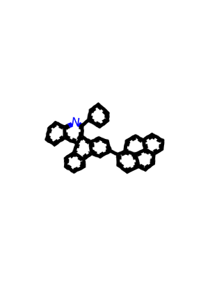 c1ccc(-c2nc3ccccc3c3c4ccccc4c4cc(-c5ccc6ccc7cccc8ccc5c6c78)ccc4c23)cc1